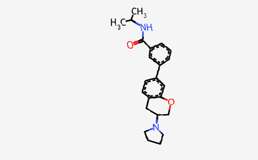 CC(C)NC(=O)c1cccc(-c2ccc3c(c2)OCC(N2CCCC2)C3)c1